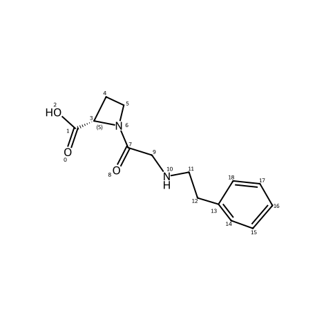 O=C(O)[C@@H]1CCN1C(=O)CNCCc1ccccc1